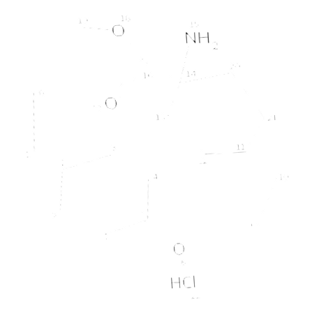 CCC1CCC(=O)CC1.CCC1CCC(N)(C(=O)OC)CC1.Cl